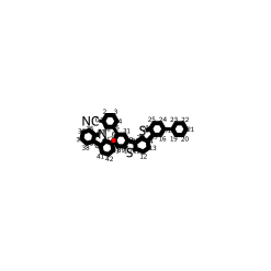 N#Cc1cccc(-c2ccc3sc4ccc5c6cc(-c7ccccc7)ccc6sc5c4c3c2)c1-n1c2ccccc2c2ccccc21